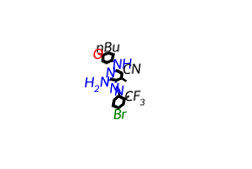 CCCCOc1ccc(Nc2nc(N)c(/N=N/c3ccc(Br)cc3C(F)(F)F)c(C)c2C#N)cc1